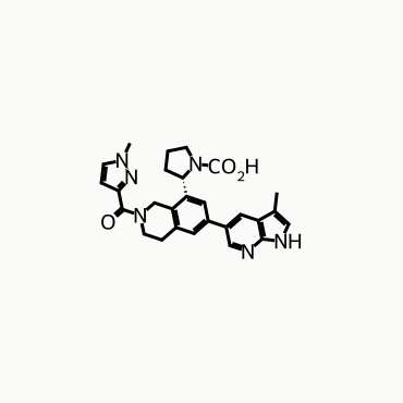 Cc1c[nH]c2ncc(-c3cc4c(c([C@@H]5CCCN5C(=O)O)c3)CN(C(=O)c3ccn(C)n3)CC4)cc12